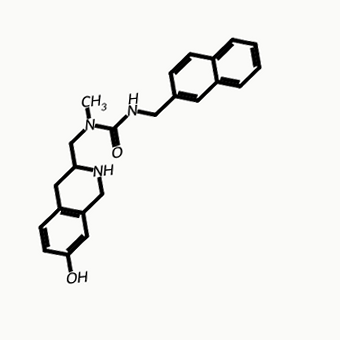 CN(CC1Cc2ccc(O)cc2CN1)C(=O)NCc1ccc2ccccc2c1